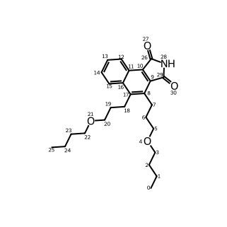 CCCCOCCCc1c2c(c3ccccc3c1CCCOCCCC)C(=O)NC2=O